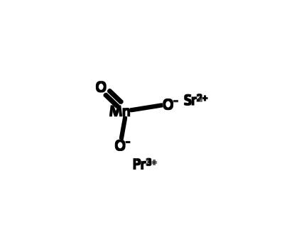 [O]=[Mn]([O-])[O-].[Pr+3].[Sr+2]